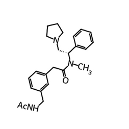 CC(=O)NCc1cccc(CC(=O)N(C)[C@H](CN2CCCC2)c2ccccc2)c1